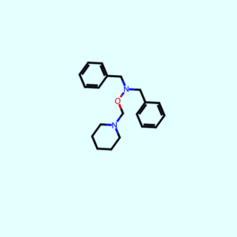 c1ccc(CN(Cc2ccccc2)OCN2CCCCC2)cc1